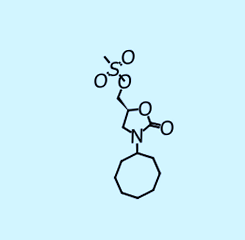 CS(=O)(=O)OC[C@@H]1CN(C2CCCCCCC2)C(=O)O1